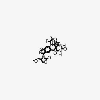 COCC1COC(=O)N1c1noc2cc3c(cc12)CC1(C(=O)NC(=O)NC1=O)[C@H]1[C@H](C)O[C@H](C)C(F)N31